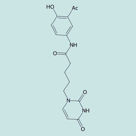 CC(=O)c1cc(NC(=O)CCCCn2ccc(=O)[nH]c2=O)ccc1O